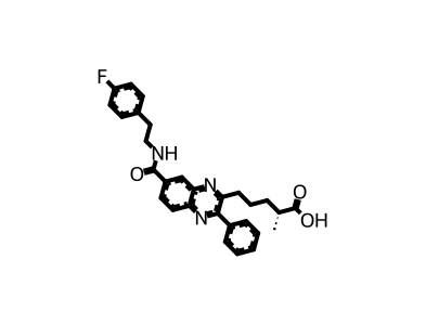 C[C@H](CCCc1nc2cc(C(=O)NCCc3ccc(F)cc3)ccc2nc1-c1ccccc1)C(=O)O